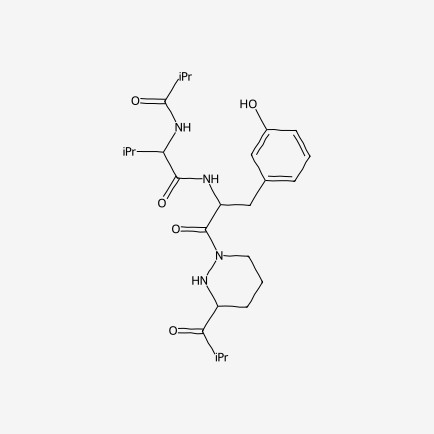 CC(C)C(=O)NC(C(=O)NC(Cc1cccc(O)c1)C(=O)N1CCCC(C(=O)C(C)C)N1)C(C)C